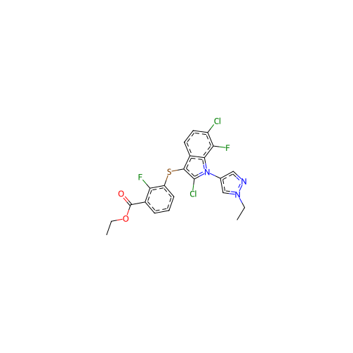 CCOC(=O)c1cccc(Sc2c(Cl)n(-c3cnn(CC)c3)c3c(F)c(Cl)ccc23)c1F